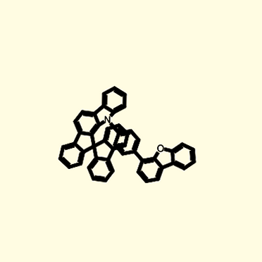 c1ccc2c(c1)-c1ccccc1C21c2ccccc2-c2ccc3c4ccccc4n(-c4ccc(-c5cccc6c5oc5ccccc56)cc4)c3c21